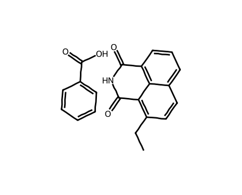 CCc1ccc2cccc3c2c1C(=O)NC3=O.O=C(O)c1ccccc1